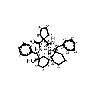 O=C(N[C@H](c1ccccc1)C1(O)CCCCC1)C1(C(=O)N[C@H](c2ccccc2)C2(O)CCCCC2)CCCC1